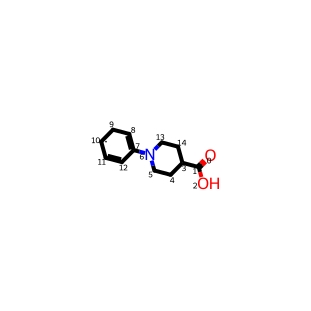 O=C(O)C1CCN(C2=CC[CH]C=C2)CC1